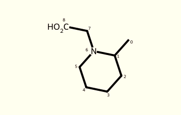 CC1CCCCN1CC(=O)O